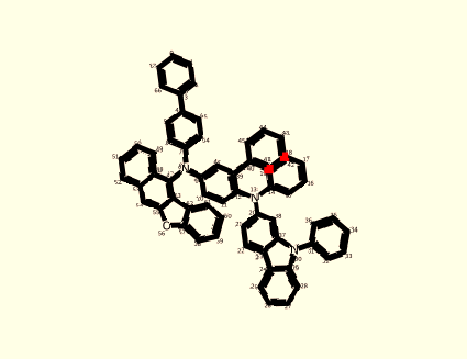 c1ccc(-c2ccc(N(c3ccc(N(c4ccccc4)c4ccc5c6ccccc6n(-c6ccccc6)c5c4)c(-c4ccccc4)c3)c3c4ccccc4cc4oc5ccccc5c34)cc2)cc1